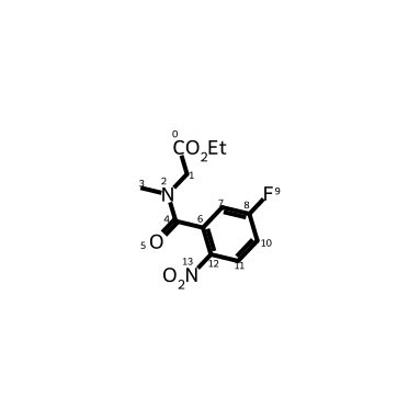 CCOC(=O)CN(C)C(=O)c1cc(F)ccc1[N+](=O)[O-]